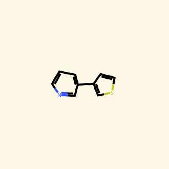 [c]1cc(-c2cccnc2)cs1